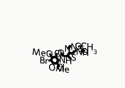 COc1c(Cl)c(NC(=O)c2csc3c(NS(C)(=O)=O)ncnc23)c(Cl)c(OC)c1Br